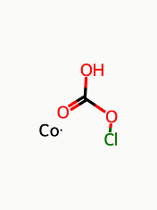 O=C(O)OCl.[Co]